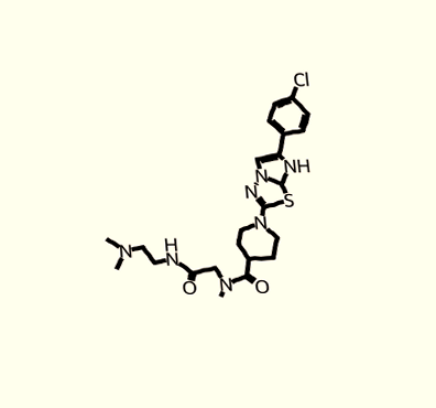 CN(C)CCNC(=O)CN(C)C(=O)C1CCN(C2=NN3C=C(c4ccc(Cl)cc4)NC3S2)CC1